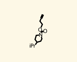 C#CCCOC(=O)N1CCC(C(C)C)CC1